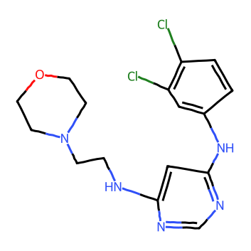 Clc1ccc(Nc2cc(NCCN3CCOCC3)ncn2)cc1Cl